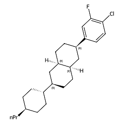 CCC[C@H]1CC[C@H]([C@@H]2CC[C@@H]3C[C@H](c4ccc(Cl)c(F)c4)CC[C@@H]3C2)CC1